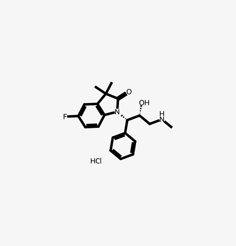 CNC[C@@H](O)[C@H](c1ccccc1)N1C(=O)C(C)(C)c2cc(F)ccc21.Cl